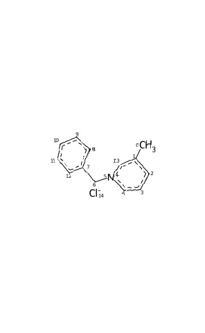 Cc1ccc[n+](Cc2ccccc2)c1.[Cl-]